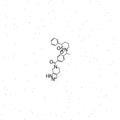 CC(c1ccc(C(=O)N2CCc3cn[nH]c3C2)cc1)N1CCCC(c2ccccc2)S1(=O)=O